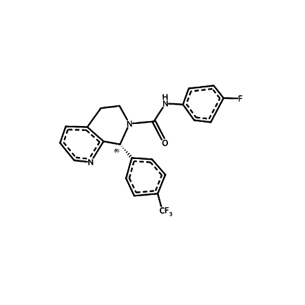 O=C(Nc1ccc(F)cc1)N1CCc2cccnc2[C@H]1c1ccc(C(F)(F)F)cc1